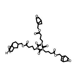 O=C(CCCn1c(=O)n(CCCC(=O)OCC2CC3CC2C2OC32)c(=O)n(CCCC(=O)OCC2CC3CC2C2OC32)c1=O)OCC1CC2C[C@@H]3OC2C3C1